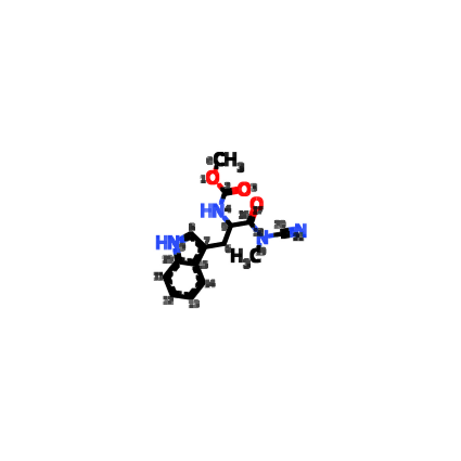 COC(=O)NC(Cc1c[nH]c2ccccc12)C(=O)N(C)C#N